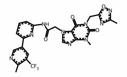 Cc1noc(Cn2c(=O)c3c(ncn3CC(=O)Nc3cccc(-c4cnc(C)c(C(F)(F)F)c4)n3)n(C)c2=O)n1